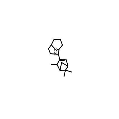 CC1C(C2CCC3BC2CCC3)=CC2CC1C2(C)C